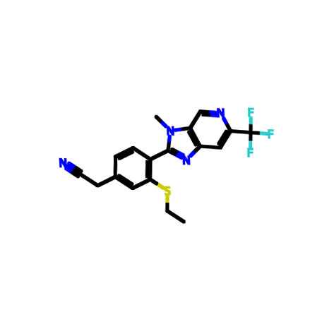 CCSc1cc(CC#N)ccc1-c1nc2cc(C(F)(F)F)ncc2n1C